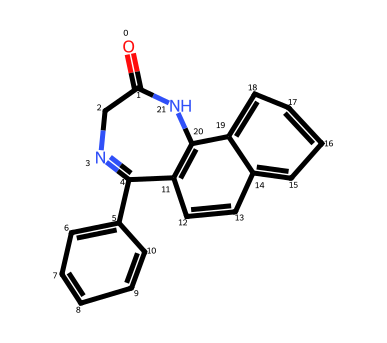 O=C1CN=C(c2ccccc2)c2ccc3ccccc3c2N1